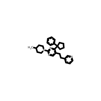 CC1CCN(c2ncc(CCc3cccnc3)c(C3(c4ccccc4)CCCC3)n2)CC1